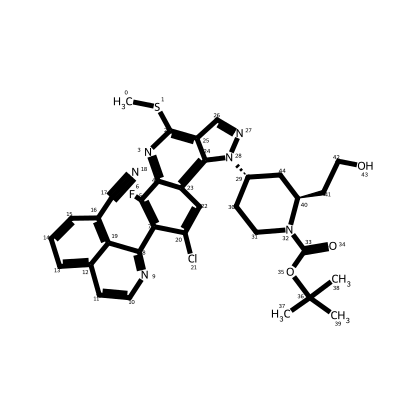 CSc1nc2c(F)c(-c3nccc4cccc(C#N)c34)c(Cl)cc2c2c1cnn2[C@H]1CCN(C(=O)OC(C)(C)C)[C@H](CCO)C1